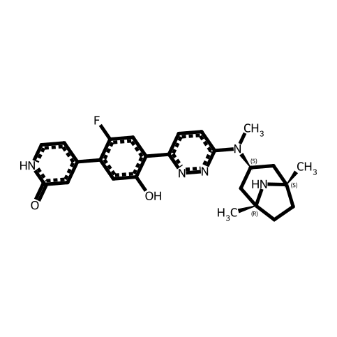 CN(c1ccc(-c2cc(F)c(-c3cc[nH]c(=O)c3)cc2O)nn1)[C@H]1C[C@]2(C)CC[C@](C)(C1)N2